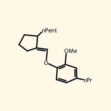 CCCCCC1CCCC1=COc1ccc(CCC)cc1OC